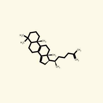 C=C(C)CCC[C@@H](C)[C@H]1CC=C2C3=C(CC[C@@]21C)[C@@]1(C)CCCC(C)(C)C1CC3